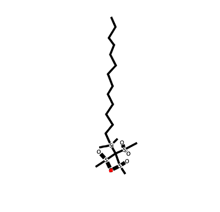 CCCCCCCCCCCCC[Si](C)(C)C(S(C)(=O)=O)(S(C)(=O)=O)S(C)(=O)=O